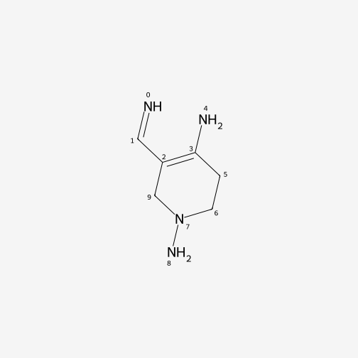 N=CC1=C(N)CCN(N)C1